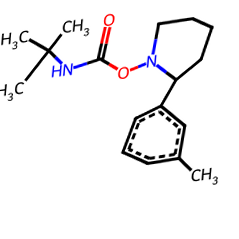 Cc1cccc(C2CCCCN2OC(=O)NC(C)(C)C)c1